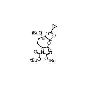 CC(C)CO[C@H]1CCC[C@H](N(C(=O)OC(C)(C)C)C(=O)OC(C)(C)C)C(=O)O[C@@H](C)[C@@H]1OC(=O)C1CC1